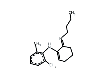 CCCC/N=C1\CCCC=C1Nc1c(C)cccc1C